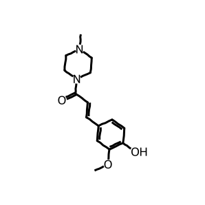 COc1cc(C=CC(=O)N2CCN(C)CC2)ccc1O